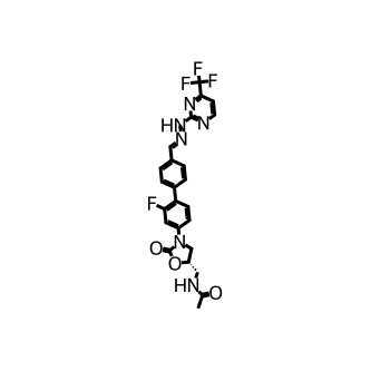 CC(=O)NC[C@H]1CN(c2ccc(-c3ccc(/C=N/Nc4nccc(C(F)(F)F)n4)cc3)c(F)c2)C(=O)O1